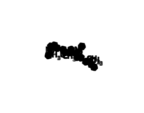 CC1(C)c2cc(-c3ccc4c(ccc5cc(-c6cccc7c8c(ccc67)C(C)(C)c6cc(-c7ccc9c(ccc%10ccc%11nc(-c%12ccccc%12)oc%11c%109)c7)ccc6-8)c6nc(-c7ccccc7)oc6c54)c3)ccc2-c2cc3ccccc3cc21